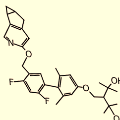 Cc1cc(OCC(C(C)(C)O)C(C)(C)O)cc(C)c1-c1cc(COc2cc3c(cn2)C2CC2C3)c(F)cc1F